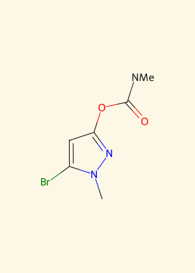 CNC(=O)Oc1cc(Br)n(C)n1